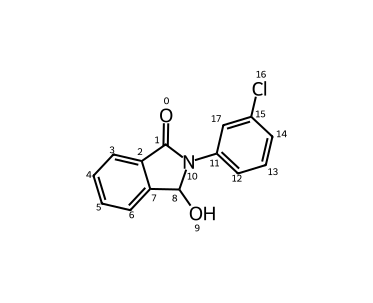 O=C1c2ccccc2C(O)N1c1cccc(Cl)c1